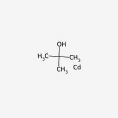 CC(C)(C)O.[Cd]